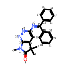 CN1C(=O)C(C)(C)c2cc(N=C(c3ccccc3)c3ccccc3)nnc21